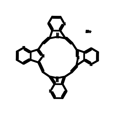 [Mn].c1cnc2c(c1)-c1cc3[nH]c(cc4nc(cc5[nH]c(cc-2n1)c1cccnc51)-c1cccnc1-4)c1cccnc31